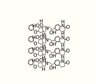 O=C1CCc2cc([C@@H](O)CN3C[C@@H]4C[C@@H](Oc5ccccc5)[C@@H](O)[C@]4(O)C3)ccc2N1.O=C1CCc2cc([C@@H](O)CN3C[C@H]4C[C@H](Oc5ccccc5)[C@H](O)[C@@]4(O)C3)ccc2N1.O=C1CCc2cc([C@H](O)CN3C[C@@H]4C[C@@H](Oc5ccccc5)[C@@H](O)[C@]4(O)C3)ccc2N1.O=C1CCc2cc([C@H](O)CN3C[C@H]4C[C@H](Oc5ccccc5)[C@H](O)[C@@]4(O)C3)ccc2N1